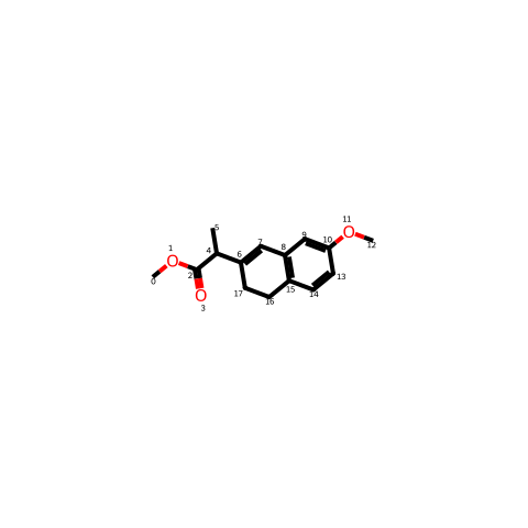 COC(=O)C(C)C1=Cc2cc(OC)ccc2CC1